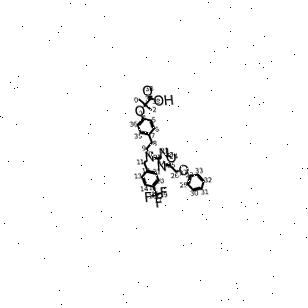 CC(C)(Oc1ccc(CCN(Cc2ccc(C(F)(F)F)cc2)c2noc(COc3ccccc3)n2)cc1)C(=O)O